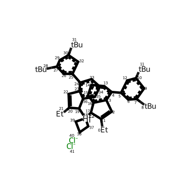 CCC1=Cc2c(-c3cc(C(C)(C)C)cc(C(C)(C)C)c3)cccc2[CH]1[Hf+2]1([CH]2C(CC)=Cc3c(-c4cc(C(C)(C)C)cc(C(C)(C)C)c4)cccc32)[CH2]C[CH2]1.[Cl-].[Cl-]